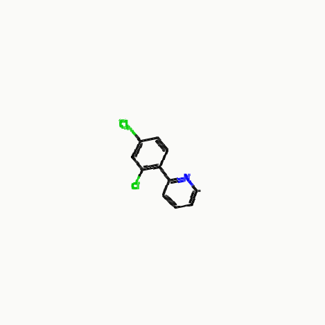 Clc1ccc(-c2ccc[c]n2)c(Cl)c1